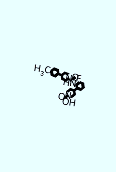 Cc1ccc(C2CCN(C(=O)Nc3c(F)cccc3C3CCN(C(=O)O)CC3)CC2)cc1